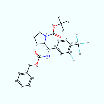 CC(C)(C)OC(=O)N1CCCC1[C@@H](NC(=O)OCc1ccccc1)c1ccc(C(F)(F)F)c(F)c1